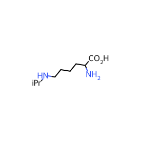 CC(C)NCCCCC(N)C(=O)O